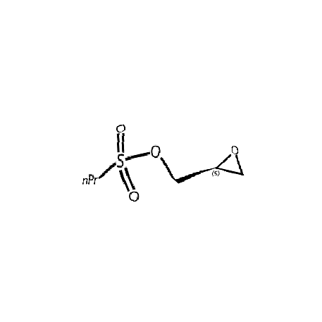 CCCS(=O)(=O)OC[C@@H]1CO1